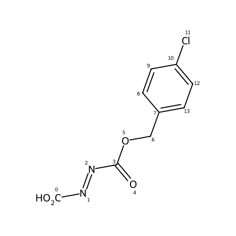 O=C(O)N=NC(=O)OCc1ccc(Cl)cc1